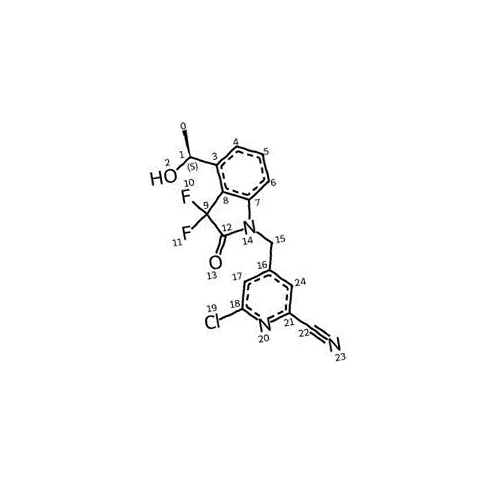 C[C@H](O)c1cccc2c1C(F)(F)C(=O)N2Cc1cc(Cl)nc(C#N)c1